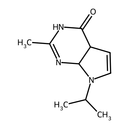 CC1=NC2C(C=CN2C(C)C)C(=O)N1